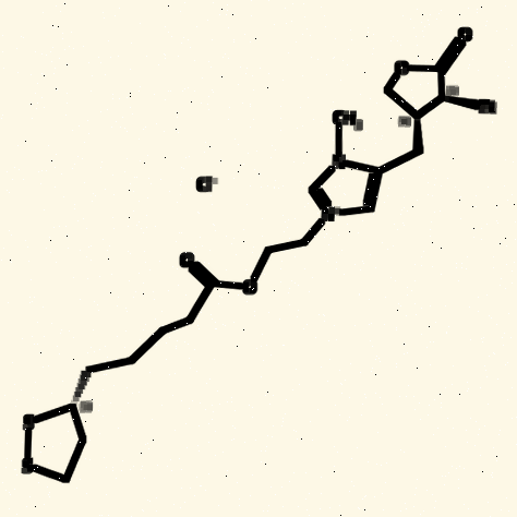 CC[C@@H]1C(=O)OC[C@@H]1Cc1c[n+](CCOC(=O)CCCC[C@@H]2CCSS2)cn1C.[Cl-]